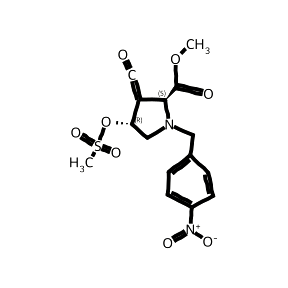 COC(=O)[C@@H]1C(=C=O)[C@@H](OS(C)(=O)=O)CN1Cc1ccc([N+](=O)[O-])cc1